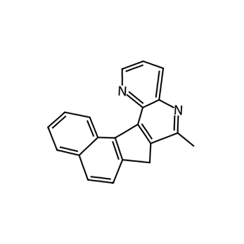 Cc1nc2cccnc2c2c1Cc1ccc3ccccc3c1-2